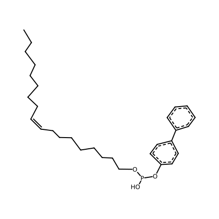 CCCCCCCC/C=C\CCCCCCCCOP(O)Oc1ccc(-c2ccccc2)cc1